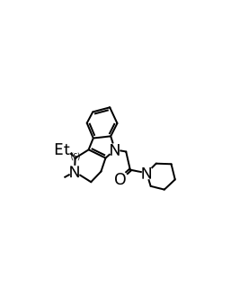 CC[C@H]1c2c(n(CC(=O)N3CCCCC3)c3ccccc23)CCN1C